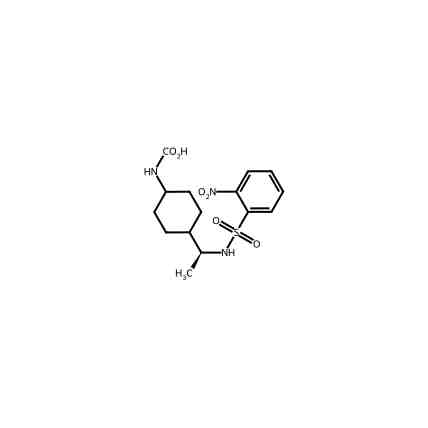 C[C@H](NS(=O)(=O)c1ccccc1[N+](=O)[O-])C1CCC(NC(=O)O)CC1